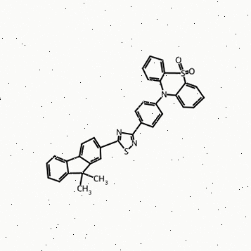 CC1(C)c2ccccc2-c2ccc(-c3nc(-c4ccc(N5c6ccccc6S(=O)(=O)c6ccccc65)cc4)ns3)cc21